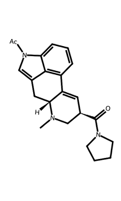 CC(=O)n1cc2c3c(cccc31)C1=C[C@@H](C(=O)N3CCCC3)CN(C)[C@@H]1C2